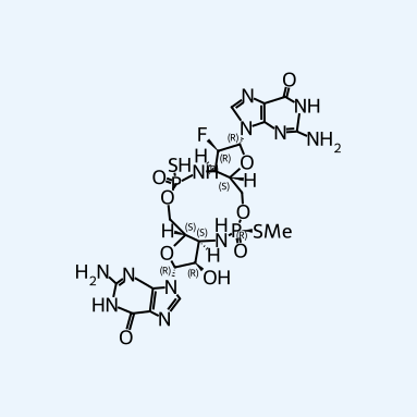 CS[P@@]1(=O)N[C@H]2[C@@H](O)[C@H](n3cnc4c(=O)[nH]c(N)nc43)O[C@@H]2COP(=O)(S)N[C@H]2[C@@H](F)[C@H](n3cnc4c(=O)[nH]c(N)nc43)O[C@@H]2CO1